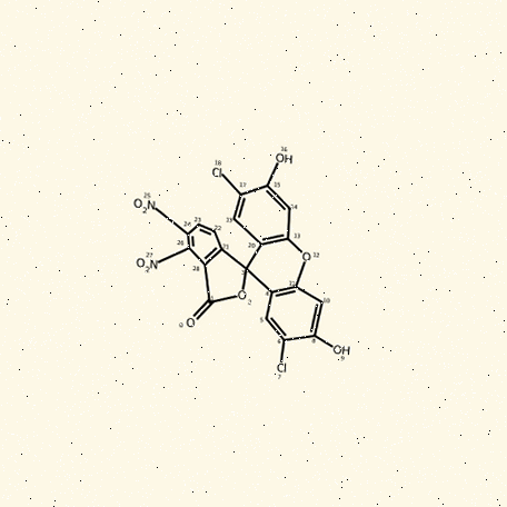 O=C1OC2(c3cc(Cl)c(O)cc3Oc3cc(O)c(Cl)cc32)c2ccc([N+](=O)[O-])c([N+](=O)[O-])c21